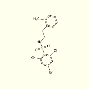 Cc1ccccc1CCNS(=O)(=O)c1c(Cl)cc(Br)cc1Cl